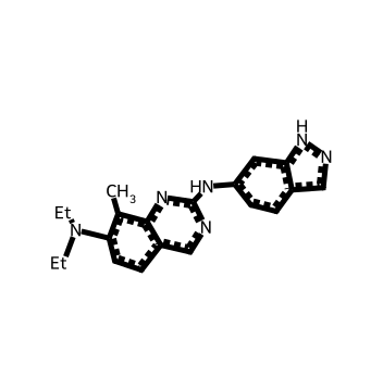 CCN(CC)c1ccc2cnc(Nc3ccc4cn[nH]c4c3)nc2c1C